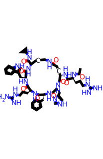 CC(=O)N[C@@H](CCCNC(=N)N)C(=O)N[C@H]1CCC(=O)NCCCC(C(=O)NC2CC2)NC(=O)[C@H](Cc2c[nH]c3ccccc23)NC(=O)[C@H](CCCNC(=N)N)NC(=O)[C@@H](Cc2ccccc2)NC(=O)[C@H](Cc2c[nH]cn2)NC1=O